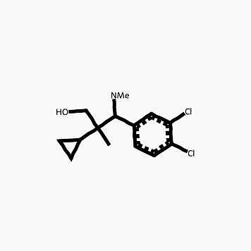 CNC(c1ccc(Cl)c(Cl)c1)C(C)(CO)C1CC1